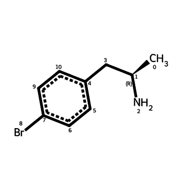 C[C@@H](N)Cc1ccc(Br)cc1